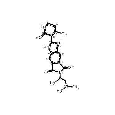 CC(CN(C)C)N1C(=O)c2cc3nc(-c4c(Cl)cc[nH]c4=O)[nH]c3cc2C1=O